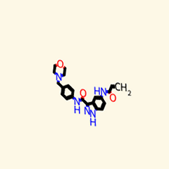 C=CC(=O)Nc1ccc2[nH]nc(C(=O)Nc3ccc(CN4CCOCC4)cc3)c2c1